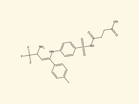 Cc1ccc(/C(=C/C(N)C(F)(F)F)Nc2ccc(S(=O)(=O)NC(=O)CCC(=O)O)cc2)cc1